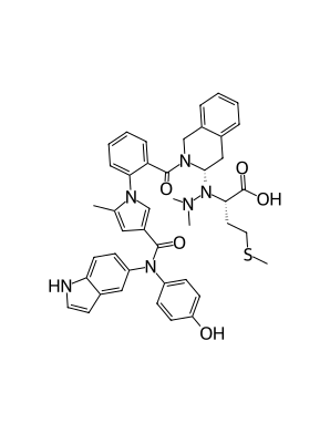 CSCC[C@@H](C(=O)O)N([C@H]1Cc2ccccc2CN1C(=O)c1ccccc1-n1cc(C(=O)N(c2ccc(O)cc2)c2ccc3[nH]ccc3c2)cc1C)N(C)C